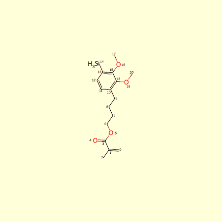 C=C(C)C(=O)OCCCCc1ccc([SiH3])c(OC)c1OC